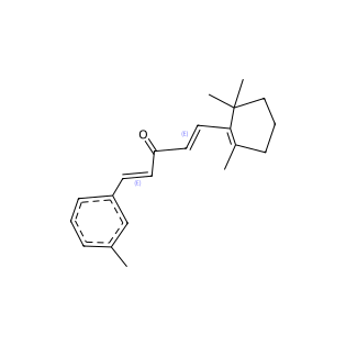 CC1=C(/C=C/C(=O)/C=C/c2cccc(C)c2)C(C)(C)CCC1